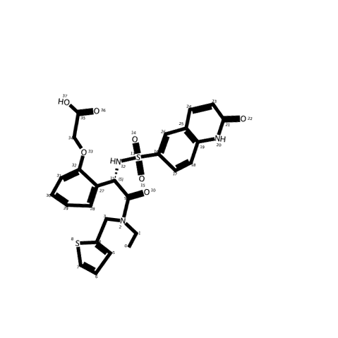 CCN(Cc1cccs1)C(=O)[C@@H](NS(=O)(=O)c1ccc2[nH]c(=O)ccc2c1)c1ccccc1OCC(=O)O